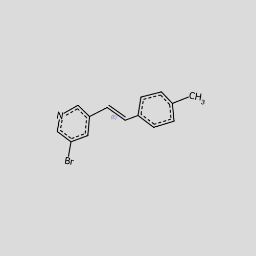 Cc1ccc(/C=C/c2cncc(Br)c2)cc1